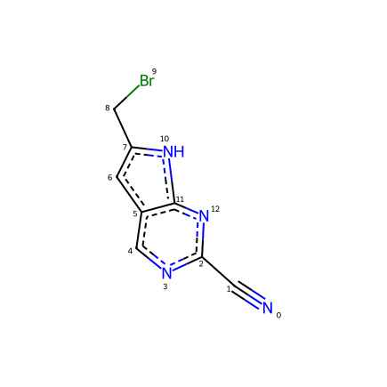 N#Cc1ncc2cc(CBr)[nH]c2n1